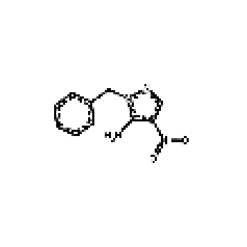 Nc1c([N+](=O)[O-])cnn1Cc1ccccc1